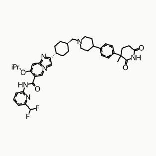 CC(C)Oc1cc2nc([C@H]3CC[C@H](CN4CCC(c5ccc(C6(C)CCC(=O)NC6=O)cc5)CC4)CC3)cn2cc1C(=O)Nc1cccc(C(F)F)n1